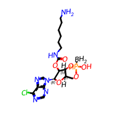 B[PH]1(O)OC[C@H]2O[C@@H](n3cnc4c(Cl)ncnc43)C(OC(=O)NCCCCCCN)[C@H]2O1